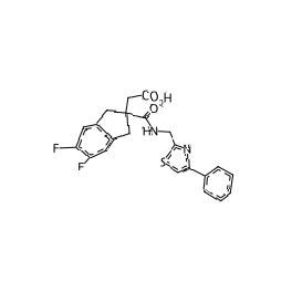 O=C(O)CC1(C(=O)NCc2nc(-c3ccccc3)cs2)Cc2cc(F)c(F)cc2C1